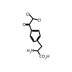 NC(Cc1ccc(C(=O)C(Cl)Cl)cc1)C(=O)O